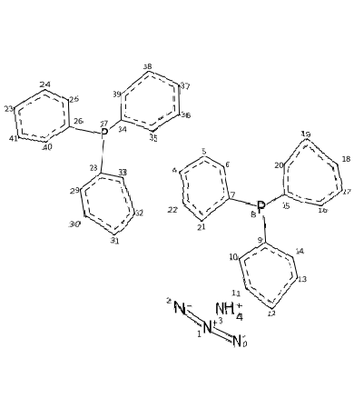 [N-]=[N+]=[N-].[NH4+].c1ccc(P(c2ccccc2)c2ccccc2)cc1.c1ccc(P(c2ccccc2)c2ccccc2)cc1